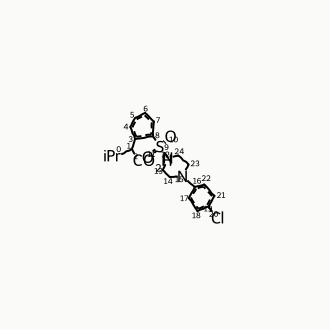 CC(C)C(C(=O)O)c1ccccc1S(=O)(=O)N1CCN(c2ccc(Cl)cc2)CC1